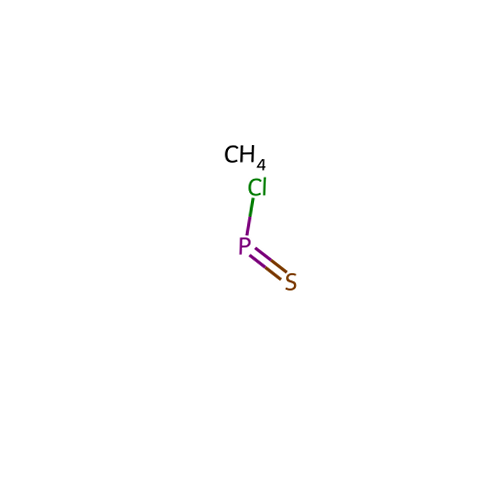 C.S=PCl